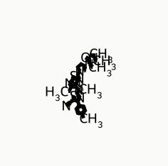 CCc1nc2sc(N3CCC(N(C)C(=O)N(C)C)C3)nn2c1N(C)c1nc(-c2ccc(C)cc2)c(C#N)s1